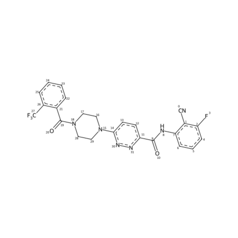 N#Cc1c(F)cccc1NC(=O)c1ccc(N2CCN(C(=O)c3ccccc3C(F)(F)F)CC2)nn1